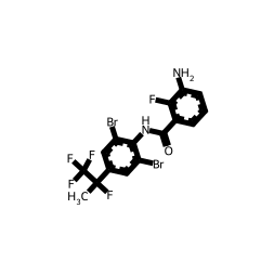 CC(F)(c1cc(Br)c(NC(=O)c2cccc(N)c2F)c(Br)c1)C(F)(F)F